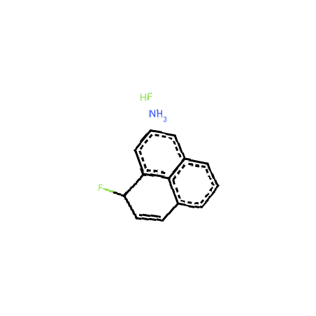 F.FC1C=Cc2cccc3cccc1c23.N